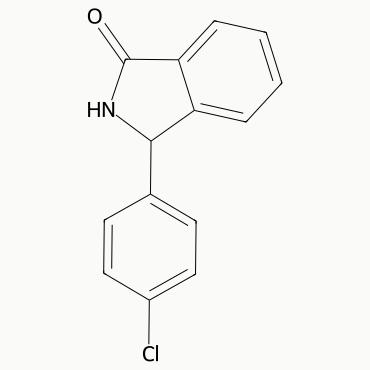 O=C1NC(c2ccc(Cl)cc2)c2ccccc21